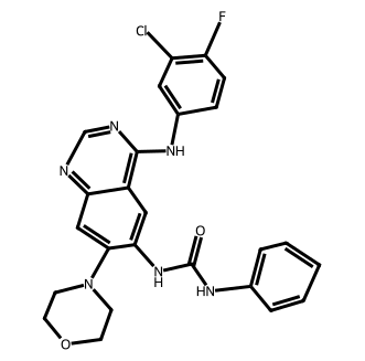 O=C(Nc1ccccc1)Nc1cc2c(Nc3ccc(F)c(Cl)c3)ncnc2cc1N1CCOCC1